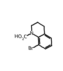 O=C(O)N1CCCc2cccc(Br)c21